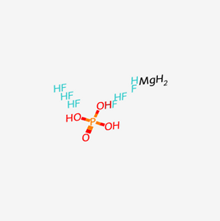 F.F.F.F.F.F.O=P(O)(O)O.[MgH2]